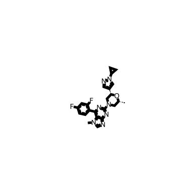 C[C@@H]1CN(c2nc(-c3ccc(F)cc3F)c3c(ncn3C)n2)C[C@H](c2cnn(C3CC3)c2)O1